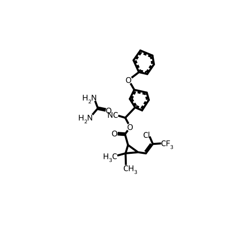 CC1(C)C(C=C(Cl)C(F)(F)F)C1C(=O)OC(C#N)c1cccc(Oc2ccccc2)c1.NC(N)=O